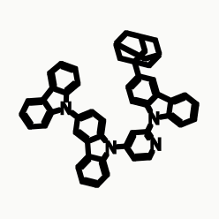 c1ccc2c(c1)c1ccccc1n2-c1ccc2c(c1)c1ccccc1n2-c1ccnc(-n2c3ccccc3c3cc(C45CC6CC(CC(C6)C4)C5)ccc32)c1